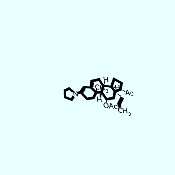 C=C=C[C@]12C[C@H](OC(C)=O)[C@H]3[C@@H](CC=C4C=C(N5CCCC5)CC[C@@]43C)[C@@H]1CC[C@@H]2C(C)=O